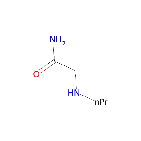 CCCNCC(N)=O